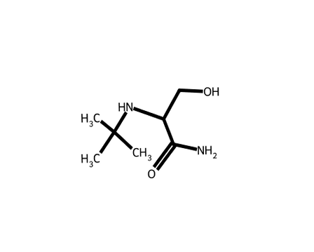 CC(C)(C)NC(CO)C(N)=O